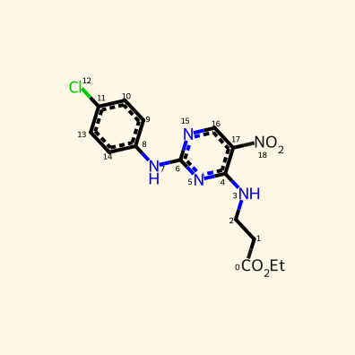 CCOC(=O)CCNc1nc(Nc2ccc(Cl)cc2)ncc1[N+](=O)[O-]